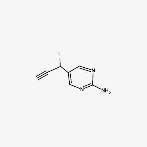 C#C[C@H](C)c1cnc(N)nc1